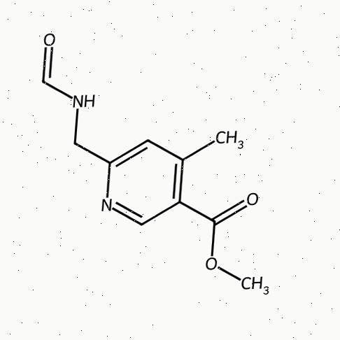 COC(=O)c1cnc(CNC=O)cc1C